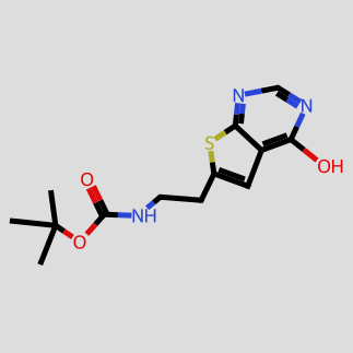 CC(C)(C)OC(=O)NCCc1cc2c(O)ncnc2s1